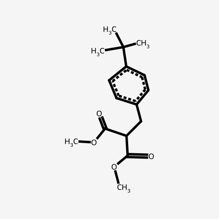 COC(=O)C(Cc1ccc(C(C)(C)C)cc1)C(=O)OC